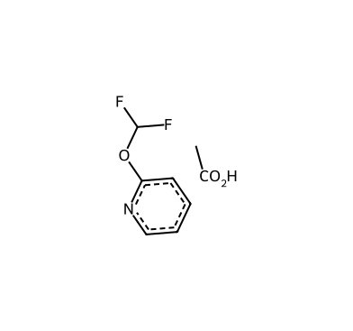 CC(=O)O.FC(F)Oc1ccccn1